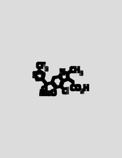 COC1=C(C(=O)c2csc(C(F)(F)F)c2)CC2=NC(C)=C(CC(=O)O)C2=C1Cl